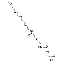 COCCOCCOCCOCCNC(=O)CCOCCNC(=O)COCC(=O)O